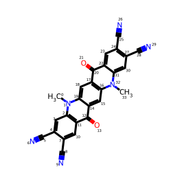 Cn1c2cc(C#N)c(C#N)cc2c(=O)c2cc3c(cc21)c(=O)c1cc(C#N)c(C#N)cc1n3C